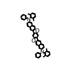 Cc1cccc(C)c1N(c1ccccc1)c1ccc2cc3c(cc2c1)oc1cc2c(cc13)oc1cc3cc(N(c4ccccc4)c4c(C)cccc4C)ccc3cc12